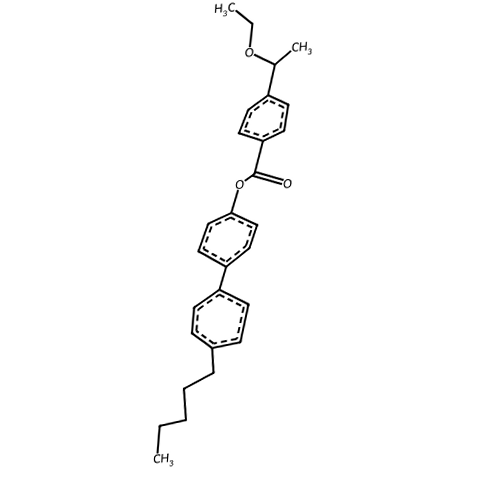 CCCCCc1ccc(-c2ccc(OC(=O)c3ccc(C(C)OCC)cc3)cc2)cc1